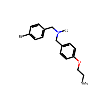 CCc1ccc(CN(CC)Cc2ccc(OCCNC)cc2)cc1